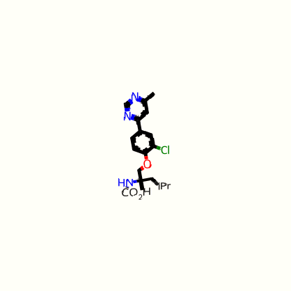 Cc1cc(-c2ccc(OCC(C)(CC(C)C)NC(=O)O)c(Cl)c2)ncn1